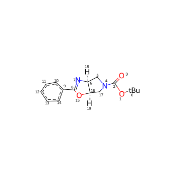 CC(C)(C)OC(=O)N1C[C@@H]2N=C(c3ccccc3)O[C@@H]2C1